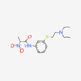 CCN(CC)CCSc1cccc(NC(=O)C(C)[N+](=O)[O-])c1